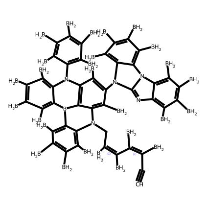 B/C(C#C)=C(B)/C(B)=C(/B)CN1c2c(B)c(B)c(B)c(B)c2B2c3c(B)c(B)c(B)c(B)c3N(c3c(B)c(B)c(B)c(B)c3B)c3c(B)c(-n4c5c(B)c(B)c(B)c(B)c5n5c6c(B)c(B)c(B)c(B)c6nc45)c(B)c1c32